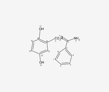 NC(=O)c1ccccc1.O=C(O)c1cc(O)ccc1O